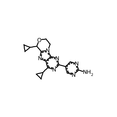 Nc1ncc(-c2nc(C3CC3)c3nc4n(c3n2)CCOC4C2CC2)cn1